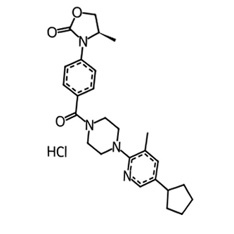 Cc1cc(C2CCCC2)cnc1N1CCN(C(=O)c2ccc(N3C(=O)OC[C@H]3C)cc2)CC1.Cl